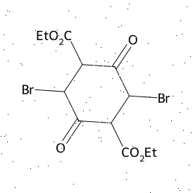 CCOC(=O)C1C(=O)C(Br)C(C(=O)OCC)C(=O)C1Br